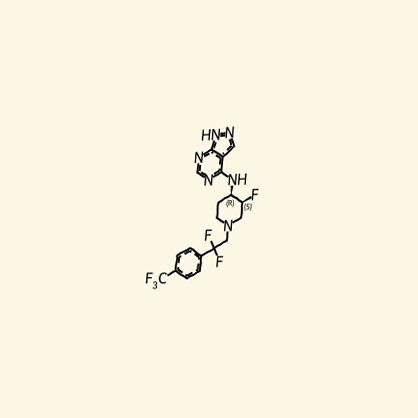 F[C@H]1CN(CC(F)(F)c2ccc(C(F)(F)F)cc2)CC[C@H]1Nc1ncnc2[nH]ncc12